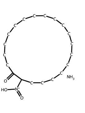 N.O=C1CCCCCCCCCCCCCCCCCCC1[N+](=O)O